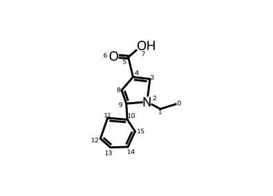 CCn1cc(C(=O)O)cc1-c1ccccc1